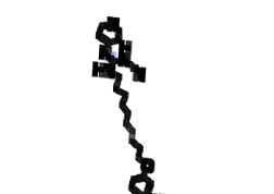 N#CN/C(=N\c1ccncc1)NCCCCCCCCCCOc1cccc(Cl)c1